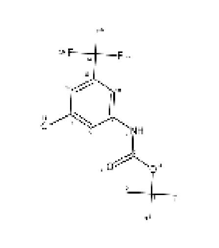 CC(C)(C)OC(=O)Nc1cc(Cl)cc(C(C)(F)F)c1